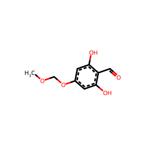 COCOc1cc(O)c(C=O)c(O)c1